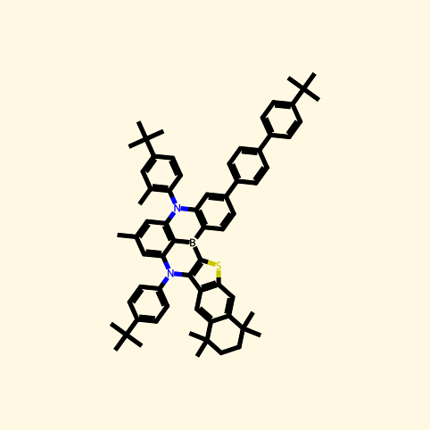 Cc1cc2c3c(c1)N(c1ccc(C(C)(C)C)cc1)c1c(sc4cc5c(cc14)C(C)(C)CCC5(C)C)B3c1ccc(-c3ccc(-c4ccc(C(C)(C)C)cc4)cc3)cc1N2c1ccc(C(C)(C)C)cc1C